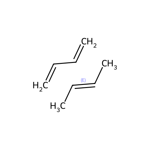 C/C=C/C.C=CC=C